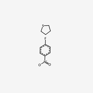 C1CCSC1.O=[N+]([O-])c1ccc(F)cc1